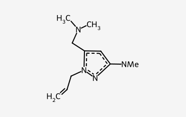 C=CCn1nc(NC)cc1CN(C)C